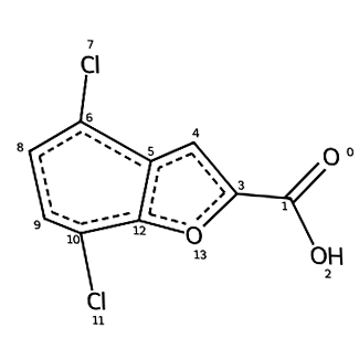 O=C(O)c1cc2c(Cl)ccc(Cl)c2o1